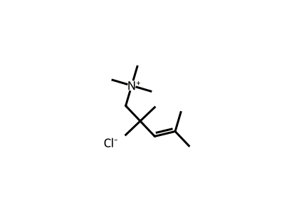 CC(C)=CC(C)(C)C[N+](C)(C)C.[Cl-]